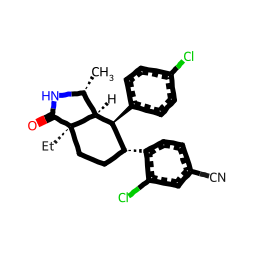 CC[C@@]12CC[C@@H](c3ccc(C#N)cc3Cl)[C@H](c3ccc(Cl)cc3)[C@@H]1[C@@H](C)NC2=O